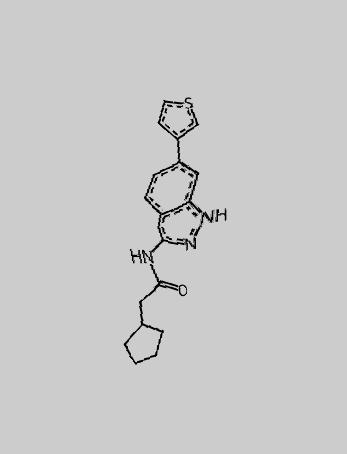 O=C(CC1CCCC1)Nc1n[nH]c2cc(-c3ccsc3)ccc12